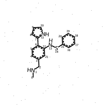 CNCc1ccc(-c2ccc[nH]2)c(NSc2ccccc2)c1